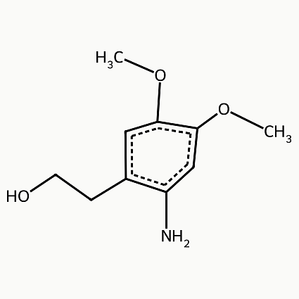 COc1cc(N)c(CCO)cc1OC